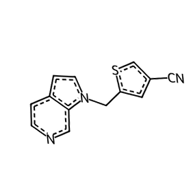 N#Cc1csc(Cn2ccc3ccncc32)c1